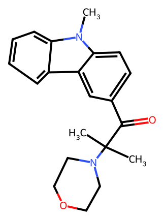 Cn1c2ccccc2c2cc(C(=O)C(C)(C)N3CCOCC3)ccc21